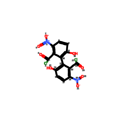 O=C(Cl)c1c([N+](=O)[O-])ccc(O)c1-c1c(O)ccc([N+](=O)[O-])c1C(=O)Cl